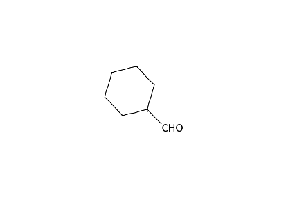 O=C[C]1CCCCC1